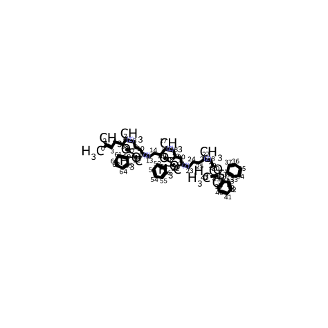 CC(C)=CCC/C(C)=C\C(C/C(C)=C\CC/C(C)=C\C(C/C(C)=C\CC/C(C)=C\CO[Si](c1ccccc1)(c1ccccc1)C(C)(C)C)S(=O)(=O)c1ccccc1)S(=O)(=O)c1ccccc1